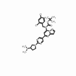 CN(C)C1CCN(c2ncc(-c3cc(N(Cc4ccc(Cl)cc4Cl)C(=O)OC(C)(C)C)n4nccc4n3)cn2)C1